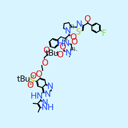 Cc1[nH]nc(Nc2ncnc3cc(OCCOCCOc4ccc(C[C@H](NC(=O)[C@H](C)N(C)C(=O)OC(C)(C)C)C(=O)N5CCC[C@H]5c5nc(C(=O)c6ccc(F)cc6)cs5)cc4)c(S(=O)(=O)C(C)(C)C)cc23)c1C